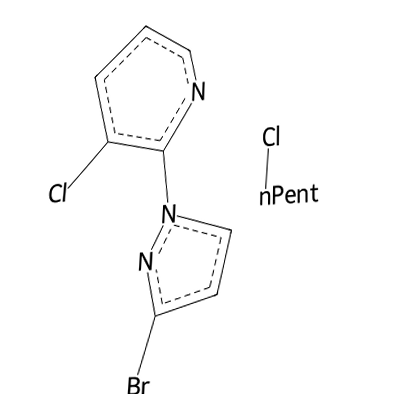 CCCCCCl.Clc1cccnc1-n1ccc(Br)n1